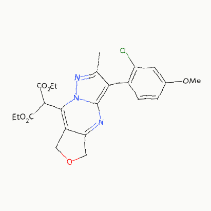 CCOC(=O)C(C(=O)OCC)c1c2c(nc3c(-c4ccc(OC)cc4Cl)c(C)nn13)COC2